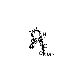 COC(=O)/C=C/C(=O)OCC(C)(C)[C@H]1OP(=O)(OCC[N+](C)(C)C)SCCNC(=O)CCNC1=O